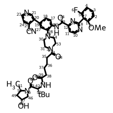 COc1cccc(F)c1-c1nccc(C(=O)Nc2ccc(-c3cnccc3C#N)cc2N2CCN(C(=O)CCCCC(=O)N[C@H](C(=O)N3C[C@H](O)C[C@H]3C)C(C)(C)C)CC2)n1